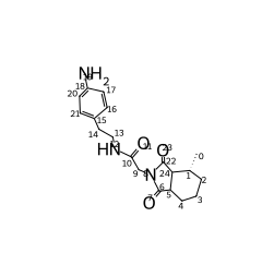 C[C@@H]1CCCC2C(=O)N(CC(=O)NCCc3ccc(N)cc3)C(=O)C21